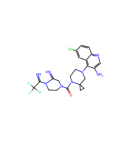 N=C1CN(C(=O)N2CCN(c3c(N)cnc4ccc(Cl)cc34)CC23CC3)CCN1C(=N)C(F)(F)F